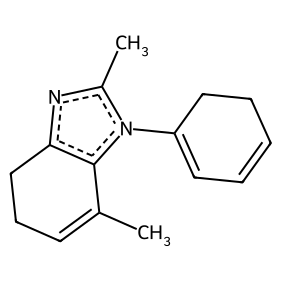 CC1=CCCc2nc(C)n(C3=CC=CCC3)c21